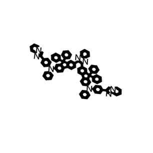 c1ccc(N(c2ccc(-c3cn4ccccc4n3)cc2)c2ccc3c(c2)C(c2ccccc2)(c2ccccc2)c2cc(-c4nc5ccccc5nc4-c4ccc5c(c4)C(c4ccccc4)(c4ccccc4)c4cc(N(c6ccccc6)c6ccc(-c7cn8ccccc8n7)cc6)ccc4-5)ccc2-3)cc1